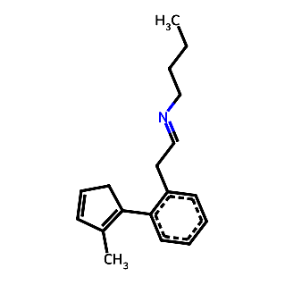 CCCCN=CCc1ccccc1C1=C(C)C=CC1